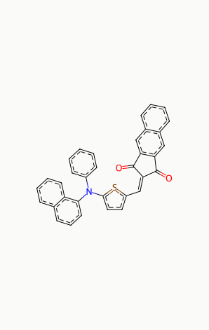 O=C1C(=Cc2ccc(N(c3ccccc3)c3cccc4ccccc34)s2)C(=O)c2cc3ccccc3cc21